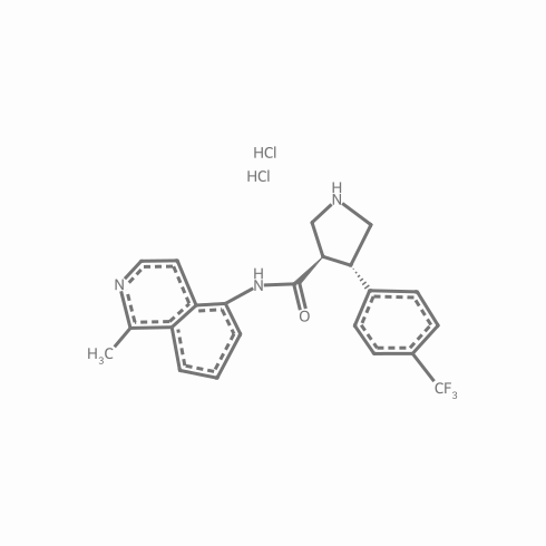 Cc1nccc2c(NC(=O)[C@H]3CNC[C@@H]3c3ccc(C(F)(F)F)cc3)cccc12.Cl.Cl